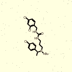 CCCCN(CCCNC(=O)NCc1ccc(Cl)cc1Cl)C(C)c1ccc(Cl)cc1